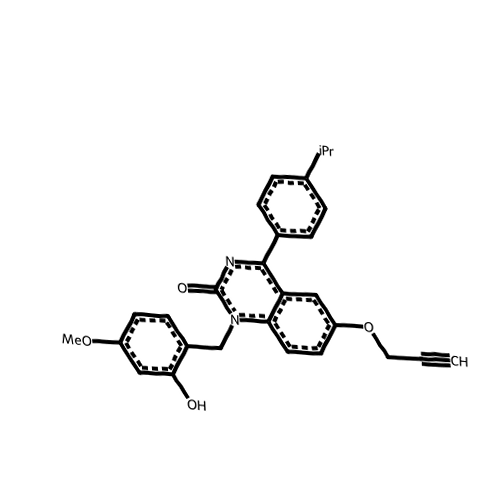 C#CCOc1ccc2c(c1)c(-c1ccc(C(C)C)cc1)nc(=O)n2Cc1ccc(OC)cc1O